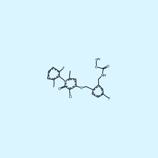 CCCOC(=O)NCc1cc(F)ccc1COc1cc(C)n(-c2c(F)cccc2F)c(=O)c1Cl